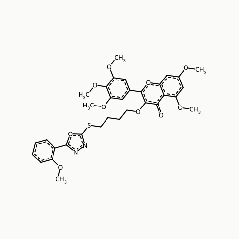 COc1cc(OC)c2c(=O)c(OCCCCSc3nnc(-c4ccccc4OC)o3)c(-c3cc(OC)c(OC)c(OC)c3)oc2c1